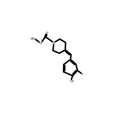 CC(C)(C)OC(=O)N1CCC(=Cc2ccc(C#N)c(F)c2)CC1